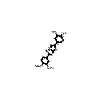 COc1ccc(-c2nn3cc(-c4cnc(N)c(C#N)c4)nc3s2)cc1OC